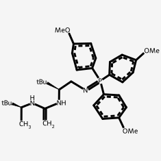 C=C(N[C@@H](C)C(C)(C)C)N[C@H](CN=P(c1ccc(OC)cc1)(c1ccc(OC)cc1)c1ccc(OC)cc1)C(C)(C)C